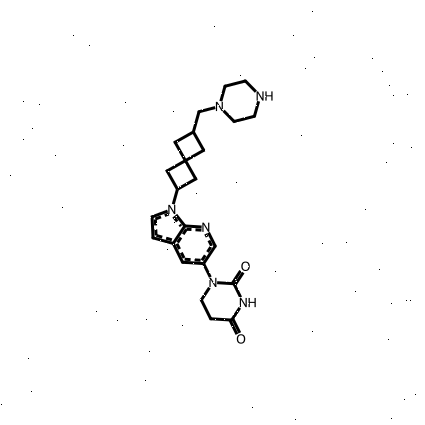 O=C1CCN(c2cnc3c(ccn3C3CC4(CC(CN5CCNCC5)C4)C3)c2)C(=O)N1